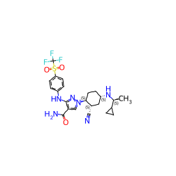 C[C@H](N[C@H]1CC[C@H](n2cc(C(N)=O)c(Nc3ccc(S(=O)(=O)C(F)(F)F)cc3)n2)[C@@H](C#N)C1)C1CC1